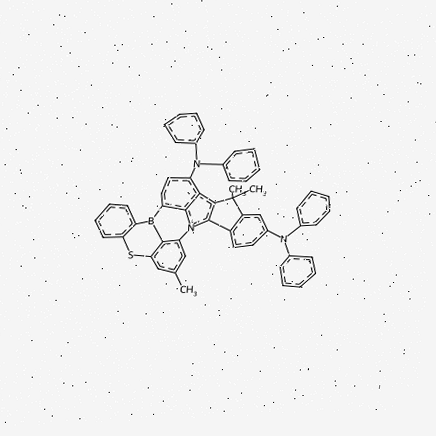 Cc1cc2c3c(c1)-n1c4c(c5c(N(c6ccccc6)c6ccccc6)ccc(c51)B3c1ccccc1S2)C(C)(C)c1cc(N(c2ccccc2)c2ccccc2)ccc1-4